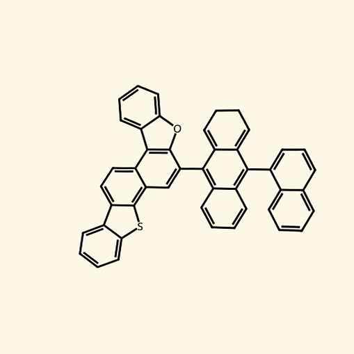 C1=c2c(-c3cccc4ccccc34)c3ccccc3c(-c3cc4c(ccc5c6ccccc6sc54)c4c3oc3ccccc34)c2=CCC1